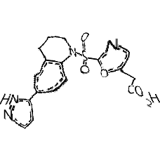 O=C(O)Cc1cnc(S(=O)(=O)N2CCCc3cc(-c4ccn[nH]4)ccc32)o1